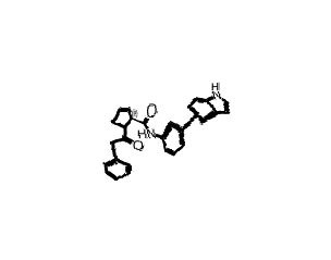 O=C(Cc1ccccc1)C1CCC[C@H]1C(=O)Nc1cccc(-c2ccc3[nH]ccc3c2)c1